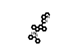 c1ccc(C(=NNc2cc3c4ccccc4c(-c4cnc5c(ccc6cccnc65)c4)cc3c3ccccc23)c2ccccc2)cc1